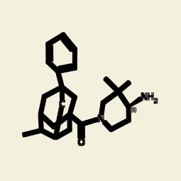 CC1C2CC3(C(=O)N4CC[C@H](N)C(C)(C)C4)CC1CC(c1ccccc1)(C2)C3